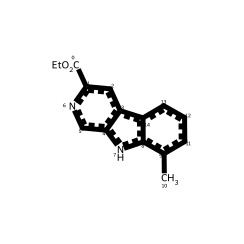 CCOC(=O)c1cc2c(cn1)[nH]c1c(C)cccc12